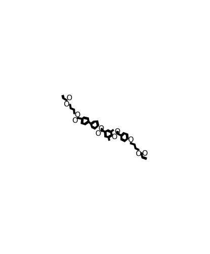 C=CC(=O)OCCCCOC(=O)c1ccc(-c2ccc(OC(=O)c3cc(C)c(OC(=O)c4ccc(OCCCCOC(=O)C=C)cc4)c(C)c3)cc2)cc1